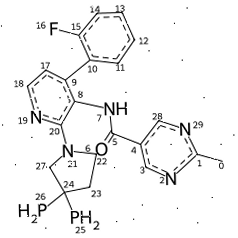 Cc1ncc(C(=O)Nc2c(-c3ccccc3F)ccnc2N2CCC(P)(P)C2)cn1